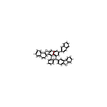 c1cc(-c2ccc3ccccc3c2)cc(N(c2ccc3oc4ccccc4c3c2)c2ccccc2-c2cccc3oc4c5ccccc5ccc4c23)c1